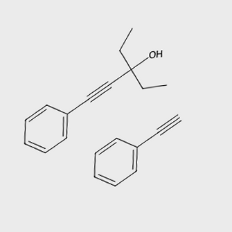 C#Cc1ccccc1.CCC(O)(C#Cc1ccccc1)CC